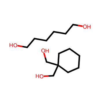 OCC1(CO)CCCCC1.OCCCCCCO